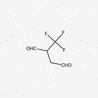 O=[C]CC([C]=O)C(F)(F)F